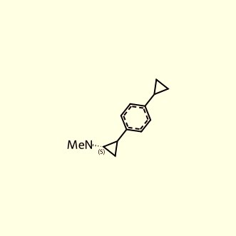 CN[C@H]1CC1c1ccc(C2CC2)cc1